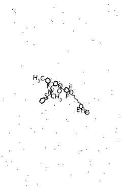 CCC1(COCCCCCCOc2c(F)cc(C(=O)Oc3ccc(-c4ccc(C)cc4F)c(/C=N/N=C(\C)c4cc5ccccc5s4)c3)cc2F)COC1